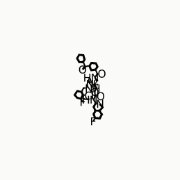 CC(=O)N(NCc1cccc(F)c1Cl)[C@@H](CNC(=O)c1cccc(C(=O)c2ccccc2)c1)COC(=O)Nc1cc2cc(F)ccc2cn1